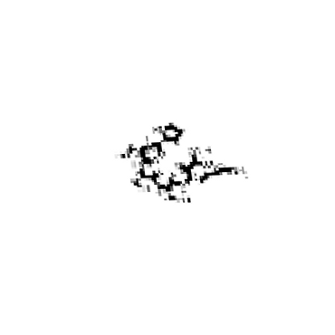 NCCCC[C@H](NC(=O)[C@H](CO)NC(=O)[C@H](CO)NC(=O)[C@H](CO)NC(=O)[C@@H]1CCCN1)C(=O)[C](C(=O)O)C(=O)O